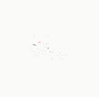 CC1CCC=C2CC[C@@H]3[C@@H](CC[C@]4(C)C(O[Si](C)(C)C)CC[C@@H]34)[C@]21CO[Si](C)(C)C